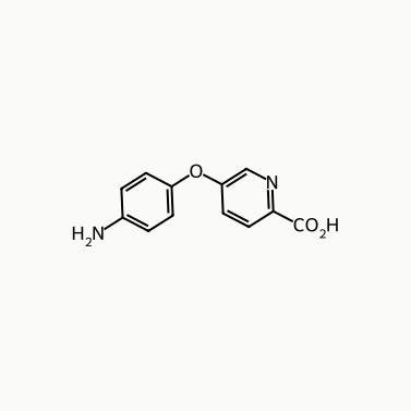 Nc1ccc(Oc2ccc(C(=O)O)nc2)cc1